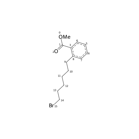 COC(=O)c1cc[c]cc1CCCCCCBr